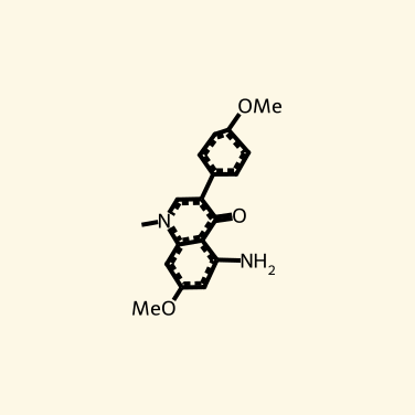 COc1ccc(-c2cn(C)c3cc(OC)cc(N)c3c2=O)cc1